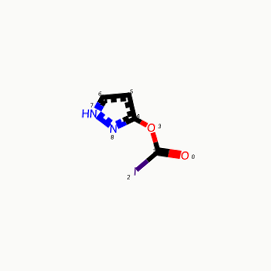 O=C(I)Oc1cc[nH]n1